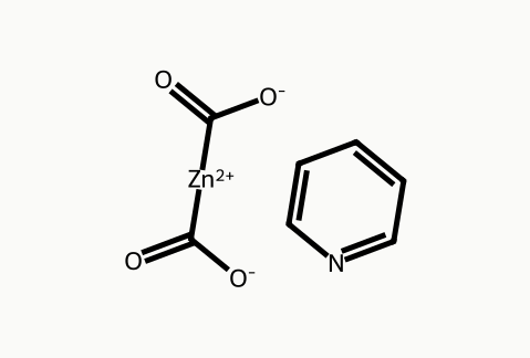 O=[C]([O-])[Zn+2][C](=O)[O-].c1ccncc1